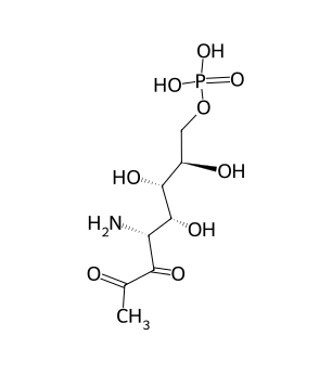 CC(=O)C(=O)[C@H](N)[C@@H](O)[C@H](O)[C@H](O)COP(=O)(O)O